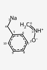 C=[NH+][O-].[Na][CH2]c1ccccc1